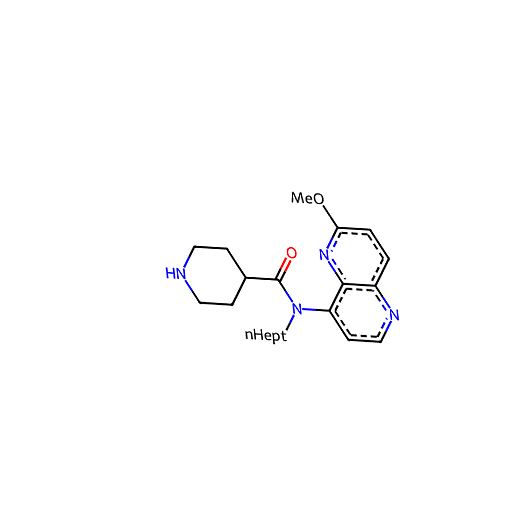 CCCCCCCN(C(=O)C1CCNCC1)c1ccnc2ccc(OC)nc12